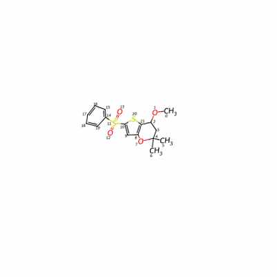 COC1CC(C)(C)Oc2cc(S(=O)(=O)c3ccccc3)sc21